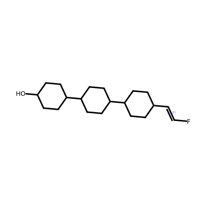 OC1CCC(C2CCC(C3CCC(/C=C/F)CC3)CC2)CC1